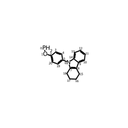 POc1ccc(-n2c3c(c4ccccc42)CCCC3)cc1